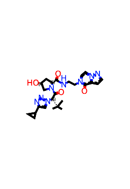 CC(C)(C)[C@@H](C(=O)N1C[C@H](O)C[C@H]1C(=O)NCCn1ccn2nccc2c1=O)n1cc(C2CC2)nn1